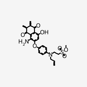 C=CCN(CCS(=O)(=O)OC)c1ccc(Oc2cc(O)c3c(c2N)C(=O)C(=C)C(=C)C3=O)cc1